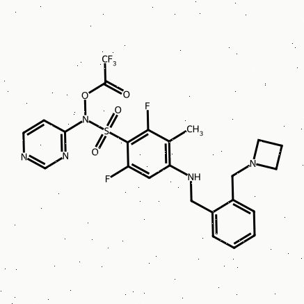 Cc1c(NCc2ccccc2CN2CCC2)cc(F)c(S(=O)(=O)N(OC(=O)C(F)(F)F)c2ccncn2)c1F